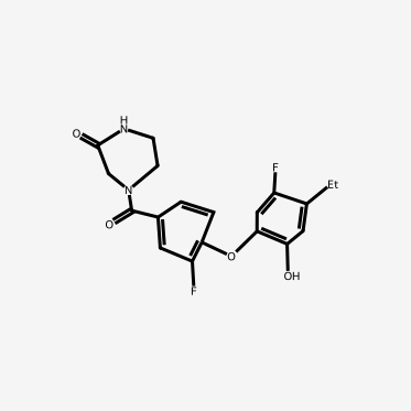 CCc1cc(O)c(Oc2ccc(C(=O)N3CCNC(=O)C3)cc2F)cc1F